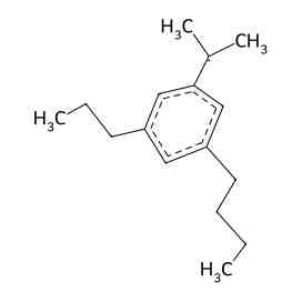 CCCCc1cc(CCC)cc([C](C)C)c1